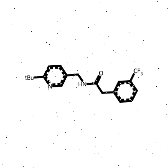 CC(C)(C)c1ccc(CNC(=O)Cc2cccc(C(F)(F)F)c2)cn1